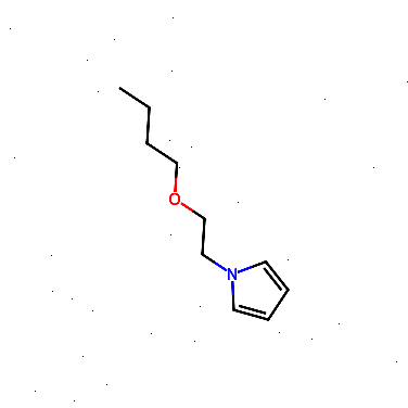 CCCCOCCn1cccc1